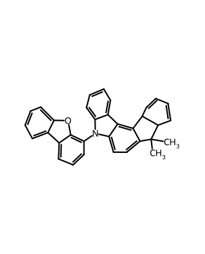 CC1(C)c2ccc3c(c2C2C=CC=CC21)c1ccccc1n3-c1cccc2c1oc1ccccc12